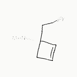 CN[C@]1(CC(C)C)C=CC1